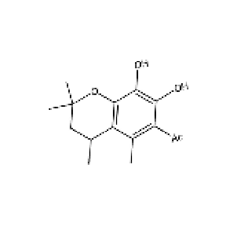 CC(=O)c1c(C)c2c(c(O)c1O)OC(C)(C)CC2C